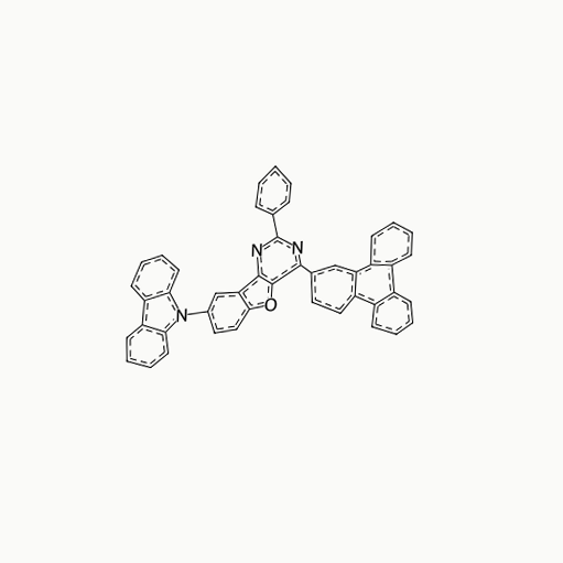 c1ccc(-c2nc(-c3ccc4c5ccccc5c5ccccc5c4c3)c3oc4ccc(-n5c6ccccc6c6ccccc65)cc4c3n2)cc1